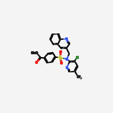 COC(=O)c1ccc(S(=O)(=O)N(Cc2cnc3ccccc3c2)c2ncc(C(F)(F)F)cc2Cl)cc1